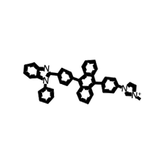 C[n+]1ccn(-c2ccc(-c3c4ccccc4c(-c4ccc(-c5nc6ccccc6n5-c5ccccc5)cc4)c4ccccc34)cc2)c1